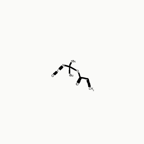 C=CC(=O)OC(CCCC)(N=C=O)C(C)CC